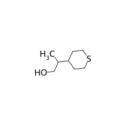 CC(CO)C1CCSCC1